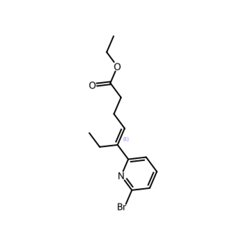 CCOC(=O)CC/C=C(\CC)c1cccc(Br)n1